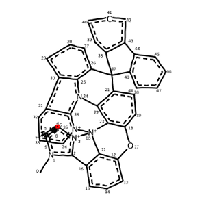 Cn1c2[n+](c3ccccc31)[N+]13c4c(cccc4-2)Oc2ccc4c(c21)-n1c2c(cccc2c2ccc[n+]3c21)C41c2ccccc2-c2ccccc21